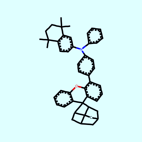 CC1(C)CCC(C)(C)c2cc(N(c3ccccc3)c3ccc(-c4cccc5c4Oc4ccccc4C54C5CC6CC7CC4C75C6)cc3)ccc21